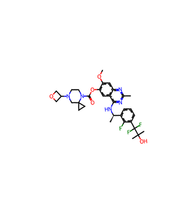 COc1cc2nc(C)nc(N[C@H](C)c3cccc(C(F)(F)C(C)(C)O)c3F)c2cc1OC(=O)N1CCN(C2COC2)CC12CC2